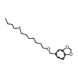 CCCCSCCCCCCCOCc1ccc2c(c1)OCO2